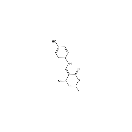 CC1=CC(=O)C(=CNc2ccc(O)cc2)C(=O)O1